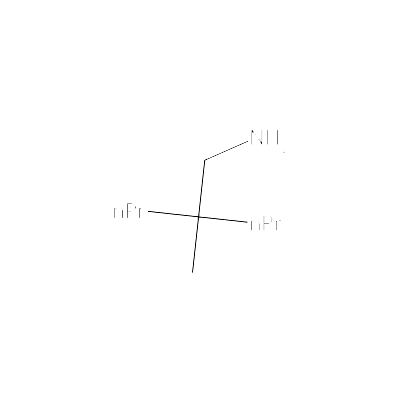 CCCC(C)(CN)CCC